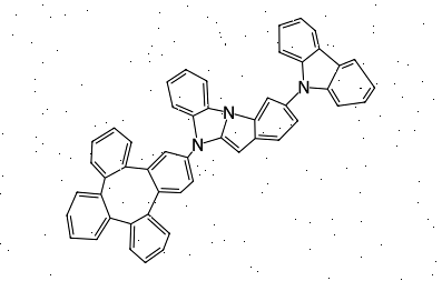 c1ccc2c(c1)-c1ccccc1-c1ccc(-n3c4ccccc4n4c5cc(-n6c7ccccc7c7ccccc76)ccc5cc34)cc1-c1ccccc1-2